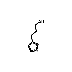 SCCCc1ccsc1